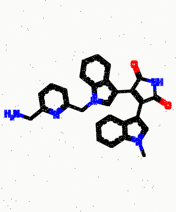 Cn1cc(C2=C(c3cn(Cc4cccc(CN)n4)c4ccccc34)C(=O)NC2=O)c2ccccc21